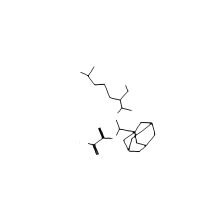 C=C(C)C(=O)OC(OC(C)C(CC)CCCC(C)C)C12CC3CC(CC(C3)C1)C2